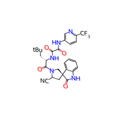 CC(C)(C)C[C@H](NC(=O)C(=O)Nc1ccc(C(F)(F)F)nc1)C(=O)N1C[C@]2(CC1C#N)C(=O)Nc1ccccc12